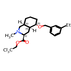 CCc1cccc(CO[C@H]2CCC[C@@H]3CN(C)[C@H](C(=O)OCC(Cl)(Cl)Cl)C[C@@H]32)c1